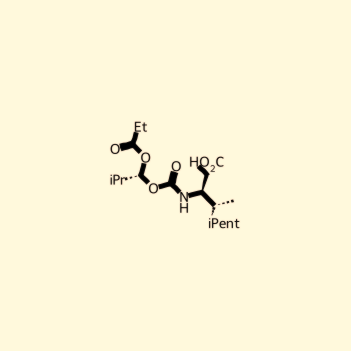 CCC[C@@H](C)[C@@H](C)[C@H](CC(=O)O)NC(=O)O[C@@H](OC(=O)CC)C(C)C